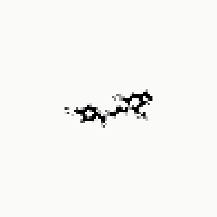 CCCC1Cc2ccsc2C(C)N1CCCNC(=O)c1ccc([N+](=O)[O-])cc1